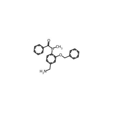 CN(C(=O)c1ccccc1)c1ccc(CN)cc1OCc1ccccc1